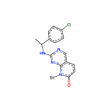 CCn1c(=O)ccc2cnc(NC(C)c3ccc(Cl)cc3)nc21